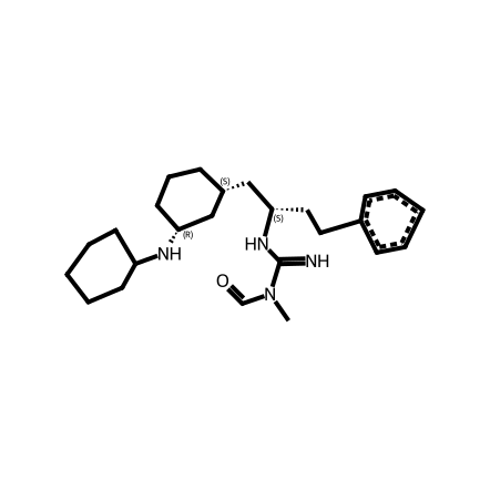 CN(C=O)C(=N)N[C@@H](CCc1ccccc1)C[C@H]1CCC[C@@H](NC2CCCCC2)C1